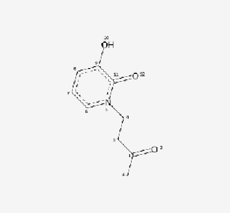 CC(=O)CCn1cccc(O)c1=O